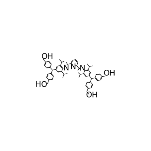 CC(=Nc1c(C(C)C)cc(C(c2ccc(CO)cc2)c2ccc(CO)cc2)cc1C(C)C)c1cccc(C(C)=Nc2c(C(C)C)cc(C(c3ccc(CO)cc3)c3ccc(CO)cc3)cc2C(C)C)n1